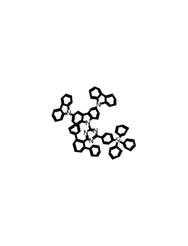 c1ccc(-c2cccc(-c3ccccc3)c2-c2nc(-c3ccc([Si](c4ccccc4)(c4ccccc4)c4ccccc4)cc3)nc(-n3c4ccc(-n5c6ccccc6c6ccccc65)cc4c4cc(-n5c6ccccc6c6ccccc65)ccc43)n2)cc1